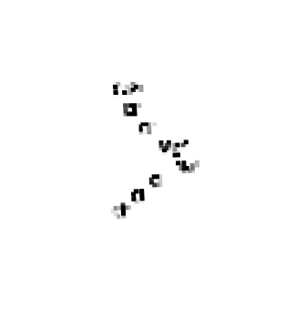 [Ca+2].[Cl-].[Cl-].[Cl-].[Cl-].[Cl-].[Mg+2].[Na+]